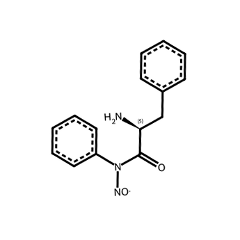 N[C@@H](Cc1ccccc1)C(=O)N([N+]=O)c1ccccc1